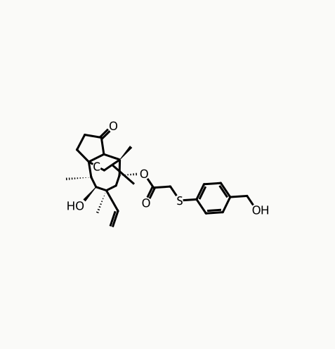 C=C[C@]1(C)C[C@@H](OC(=O)CSc2ccc(CO)cc2)[C@]2(C)C(C)CCC3(CCC(=O)C32)[C@@H](C)[C@@H]1O